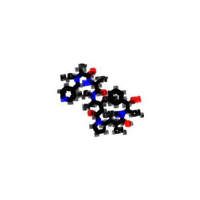 CO[C@H]([C@@H](C)C(=O)N[C@H](C)[C@@H](O)c1ccccc1)[C@@H]1CCCN1C(=O)C[C@@H](OC)C(C(C)C)N(C)C(=O)[C@@H](NC(=O)C(C(C)C)N(C)Cc1ccncc1)C(C)C